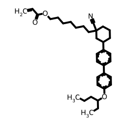 C=CC(=O)OCCCCCCCC1(C#N)CCCC(c2ccc(-c3ccc(OC(CC)CCC)cc3)cc2)C1